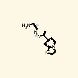 C=C(/N=N\C=C/N)c1ccn2ccnc2c1